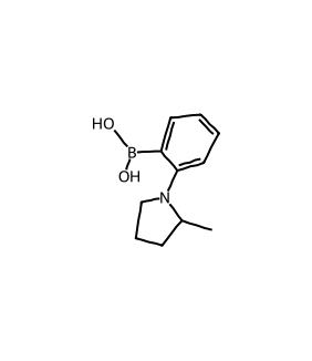 CC1CCCN1c1ccccc1B(O)O